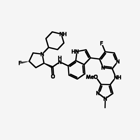 COc1nn(C)cc1Nc1ncc(F)c(-c2c[nH]c3c(NC(=O)[C@H]4C[C@H](F)CN4C4CCNCC4)cccc23)n1